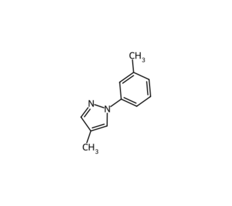 Cc1cccc(-n2cc(C)cn2)c1